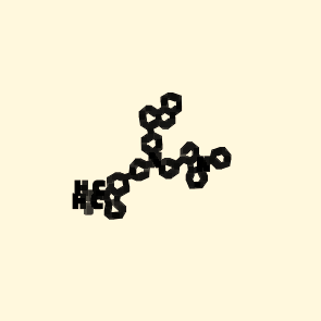 CC1(C)c2ccccc2-c2cc(-c3ccc(N(c4ccc(-c5cccc6c5ccc5ccccc56)cc4)c4cccc(-c5cccc6c5c5ccccc5n6-c5ccccc5)c4)cc3)ccc21